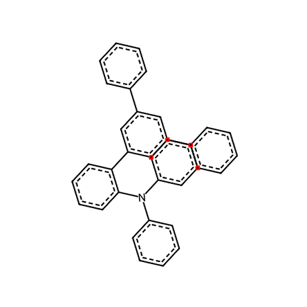 c1ccc(-c2cc(-c3ccccc3)cc(-c3ccccc3N(c3ccccc3)c3ccccc3)c2)cc1